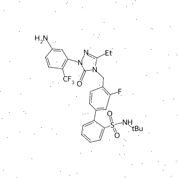 CCc1nn(-c2cc(N)ccc2C(F)(F)F)c(=O)n1Cc1ccc(-c2ccccc2S(=O)(=O)NC(C)(C)C)cc1F